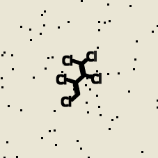 ClC=C(Cl)C(Cl)=C(Cl)Cl